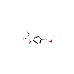 CCOC(=O)CN(CCO)C(=O)c1ccc(CNC(=O)OC(C)(C)C)cc1